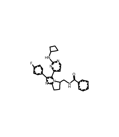 O=C(NCC1CCc2nc(-c3ccc(F)cc3)c(-c3ccnc(NC4CCC4)n3)n21)c1ccccc1